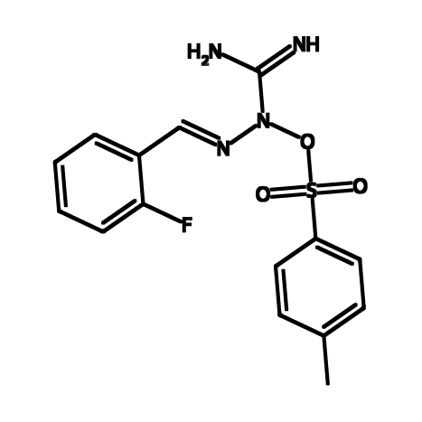 Cc1ccc(S(=O)(=O)ON(N=Cc2ccccc2F)C(=N)N)cc1